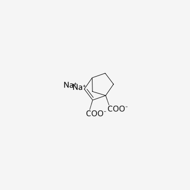 O=C([O-])C1=CC2CCC1(C(=O)[O-])C2.[Na+].[Na+]